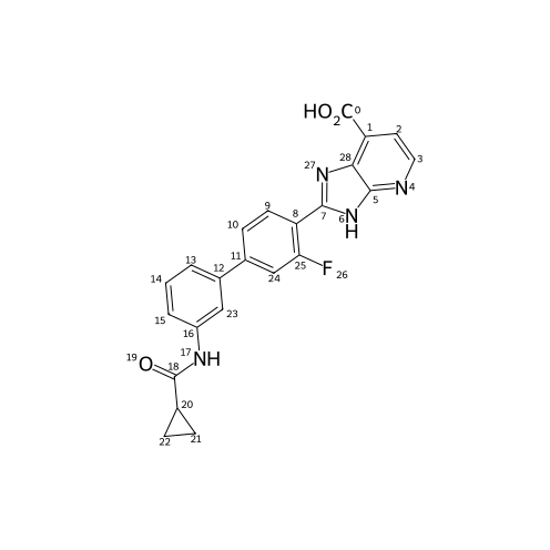 O=C(O)c1ccnc2[nH]c(-c3ccc(-c4cccc(NC(=O)C5CC5)c4)cc3F)nc12